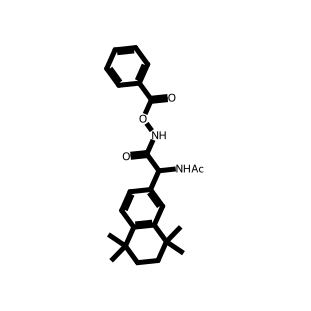 CC(=O)NC(C(=O)NOC(=O)c1ccccc1)c1ccc2c(c1)C(C)(C)CCC2(C)C